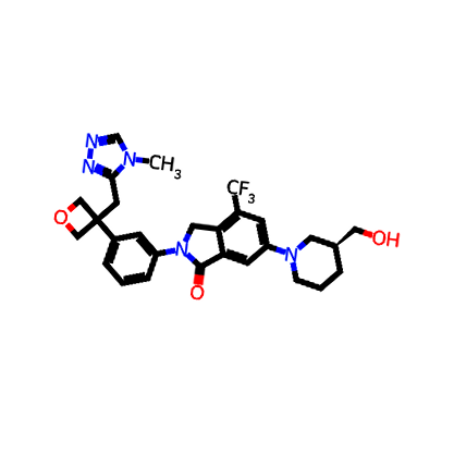 Cn1cnnc1CC1(c2cccc(N3Cc4c(cc(N5CCC[C@H](CO)C5)cc4C(F)(F)F)C3=O)c2)COC1